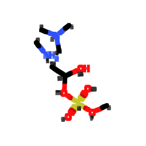 CN.CN(C)C.COS(=O)(=O)OC(C)O